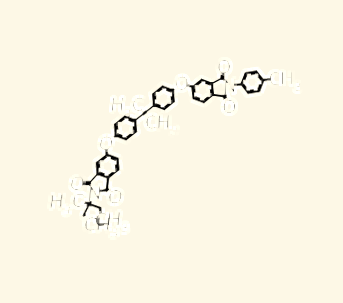 CCC(C)(CC)N1C(=O)c2ccc(Oc3ccc(C(C)(C)c4ccc(Oc5ccc6c(c5)C(=O)N(c5ccc(C)cc5)C6=O)cc4)cc3)cc2C1=O